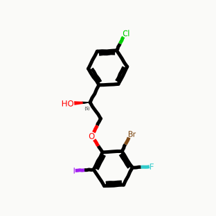 O[C@H](COc1c(I)ccc(F)c1Br)c1ccc(Cl)cc1